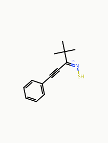 CC(C)(C)/C(C#Cc1ccccc1)=N/S